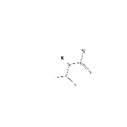 CC(C)SC(=S)[S-].[K+]